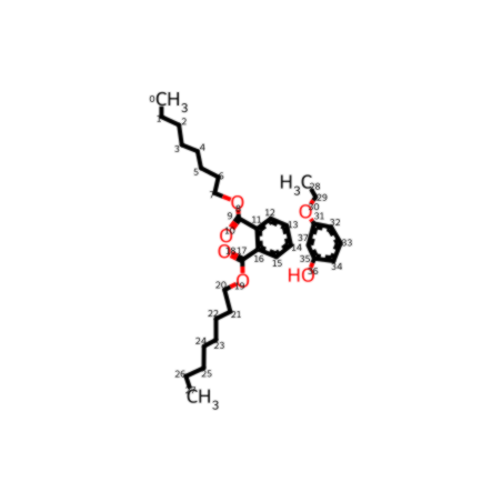 CCCCCCCCOC(=O)c1ccccc1C(=O)OCCCCCCCC.CCOc1cccc(O)c1